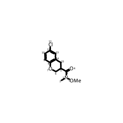 CON(C)C(=O)C1COc2ccc(Cl)cc2C1